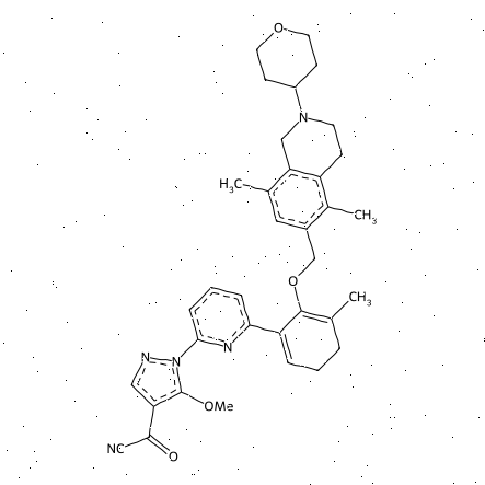 COc1c(C(=O)C#N)cnn1-c1cccc(C2=CCCC(C)=C2OCc2cc(C)c3c(c2C)CCN(C2CCOCC2)C3)n1